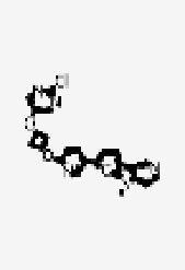 Cn1c2ccncc2c2ccc(-c3ccc(O[C@H]4C[C@H](Oc5cnc(Cl)nc5)C4)nc3)cc21